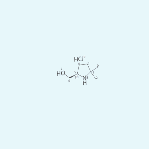 CC1(C)CC[C@H](CO)N1.Cl